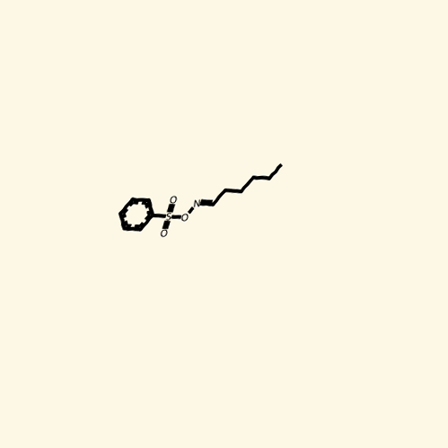 CCCCCC=NOS(=O)(=O)c1ccccc1